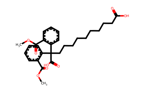 COC(=O)c1ccccc1C(CCCCCCCCCC(=O)O)(C(=O)O)c1ccccc1C(=O)OC